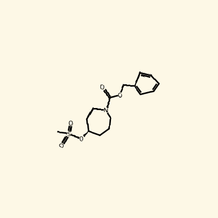 CS(=O)(=O)O[C@@H]1CCCN(C(=O)OCc2ccccc2)CC1